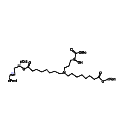 CCCCC/C=C/C[C@H](CCCCCCCC)OC(=O)CCCCCCCN(CCCCCCCC(=O)OCCCCCCCCC)CCCN(O)C(=O)OC